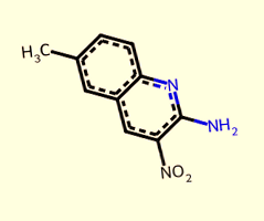 Cc1ccc2nc(N)c([N+](=O)[O-])cc2c1